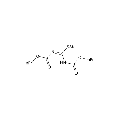 CCCOC(=O)N=C(NC(=O)OCCC)SC